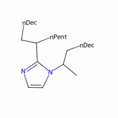 CCCCCCCCCCCC(CCCCC)c1nccn1C(C)CCCCCCCCCCC